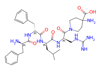 CC(C)C[C@@H](NC(=O)[C@@H](Cc1ccccc1)NC(=O)[C@H](N)Cc1ccccc1)C(=O)N[C@H](CNC(=N)N)C(=O)N1CCC(N)(C(=O)O)CC1